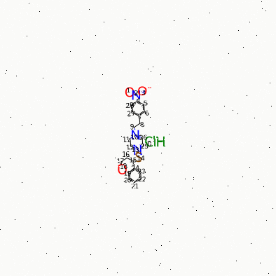 Cl.O=[N+]([O-])c1ccc(CCN2CCN(SC3CCOc4ccccc43)CC2)cc1